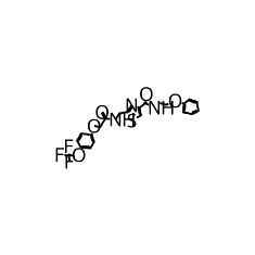 O=C(COc1ccc(OC(F)(F)F)cc1)NCc1nc(C(=O)NCCOc2ccccc2)cs1